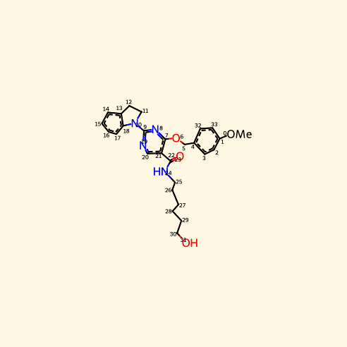 COc1ccc(COc2nc(N3CCc4ccccc43)ncc2C(=O)NCCCCCCO)cc1